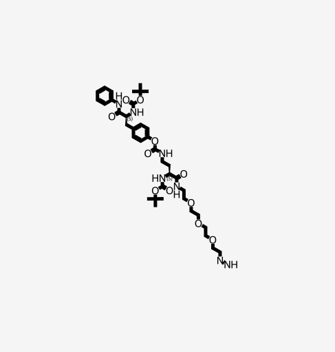 CC(C)(C)OC(=O)N[C@@H](CCNC(=O)Oc1ccc(C[C@H](NC(=O)OC(C)(C)C)C(=O)Nc2ccccc2)cc1)C(=O)NCCOCCOCCOCCN=N